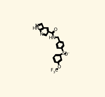 O=C(NCc1ccc([S+]([O-])c2cccc(OC(F)(F)F)c2)cc1)c1cnc2[nH]ncc2c1